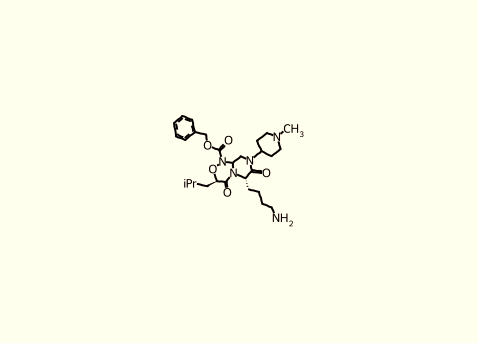 CC(C)C[C@H]1ON(C(=O)OCc2ccccc2)C2CN(C3CCN(C)CC3)C(=O)[C@H](CCCCN)N2C1=O